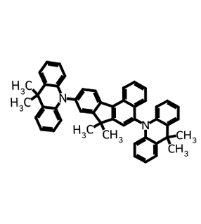 CC1(C)c2ccccc2N(c2ccc3c(c2)C(C)(C)c2cc(N4c5ccccc5C(C)(C)c5ccccc54)c4ccccc4c2-3)c2ccccc21